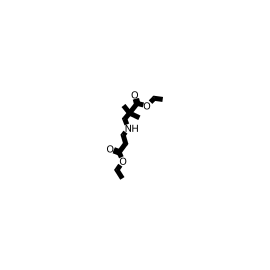 CCOC(=O)CCNCC(C)(C)C(=O)OCC